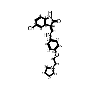 O=C1Nc2ccc(Cl)cc2/C1=C\Nc1ccc(OCCN2CCCC2)cc1